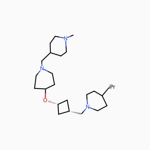 CC(C)C1CCN(C[C@H]2C[C@@H](OC3CCN(CC4CCN(C)CC4)CC3)C2)CC1